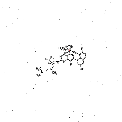 CC(C)[Si](C#Cc1c(F)ccc2cc(O)cc(-c3nc(N4CC[C@@H]4C)c4cnc(OC[C@]5(CN(C)CCN(C)C)CC5(F)F)nc4c3F)c12)(C(C)C)C(C)C